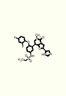 CCS(=O)(=O)Nc1ccc(Oc2ccc(F)cc2F)c(-c2cn(C)c(=O)c3cc(-c4cnc[nH]4)oc23)c1